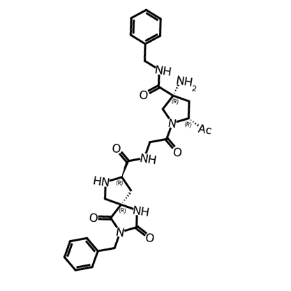 CC(=O)[C@H]1C[C@](N)(C(=O)NCc2ccccc2)CN1C(=O)CNC(=O)[C@H]1C[C@]2(CN1)NC(=O)N(Cc1ccccc1)C2=O